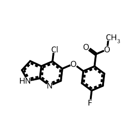 COC(=O)c1ccc(F)cc1Oc1cnc2[nH]ccc2c1Cl